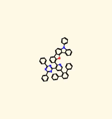 c1ccc(-c2nc(-c3ccccc3)nc(-c3cc(-c4c(-c5ccccc5)cccc4-c4ccccc4)cnc3-c3cccc4c3oc3c4ccc4c3c3ccccc3n4-c3ccccc3)n2)cc1